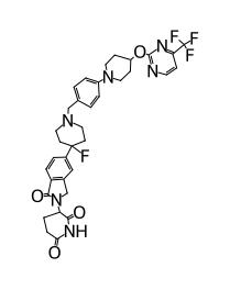 O=C1CCC(N2Cc3cc(C4(F)CCN(Cc5ccc(N6CCC(Oc7nccc(C(F)(F)F)n7)CC6)cc5)CC4)ccc3C2=O)C(=O)N1